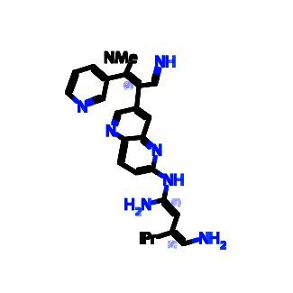 CN/C(=C(\C=N)c1cnc2ccc(N/C(N)=C/C(=C\N)C(C)C)nc2c1)c1cccnc1